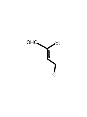 CC/C(C=O)=C\CCl